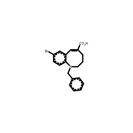 O=C(O)/C1=C/c2cc(Br)ccc2N(Cc2ccccc2)CCC1